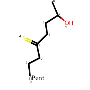 CCCCCCCC(=S)CCC(C)O